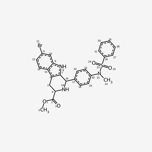 COC(=O)C1Cc2c([nH]c3cc(Br)ccc23)C(c2ccc(N(C)S(=O)(=O)c3ccccc3)cc2)N1